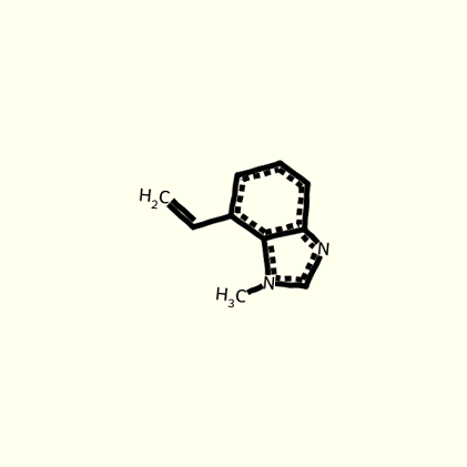 C=Cc1cccc2ncn(C)c12